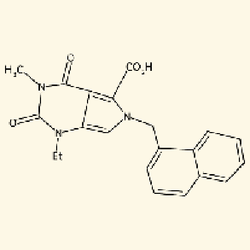 CCn1c(=O)n(C)c(=O)c2c(C(=O)O)n(Cc3cccc4ccccc34)cc21